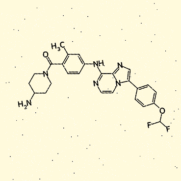 Cc1cc(Nc2nccn3c(-c4ccc(OC(F)F)cc4)cnc23)ccc1C(=O)N1CCC(N)CC1